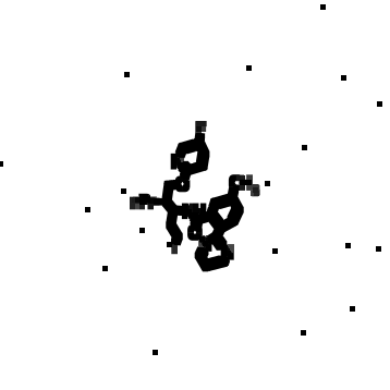 CCC[C@@H](COc1ccc(F)cn1)C(CCI)NC(=O)c1cc(C)ccc1-c1ncccn1